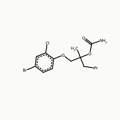 CC(C)CC(C)(COc1ccc(Br)cc1Cl)OC(N)=O